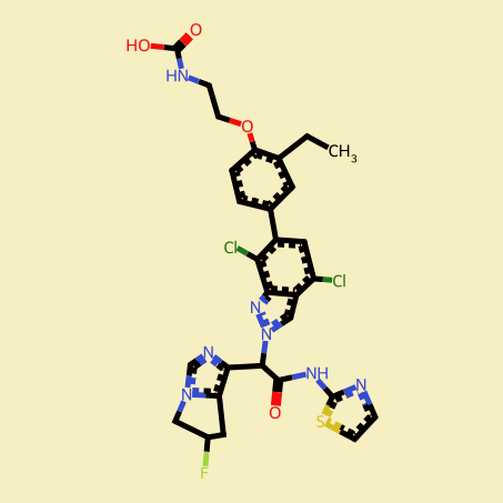 CCc1cc(-c2cc(Cl)c3cn(C(C(=O)Nc4nccs4)c4ncn5c4CC(F)C5)nc3c2Cl)ccc1OCCNC(=O)O